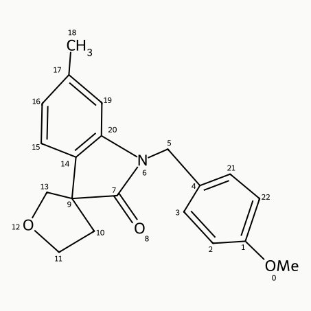 COc1ccc(CN2C(=O)C3(CCOC3)c3ccc(C)cc32)cc1